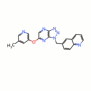 Cc1cncc(Oc2cnc3nnn(Cc4ccc5ncccc5c4)c3n2)c1